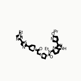 CCN(C(=O)[C@@H]1CCN(CC(=O)N2CC=C(c3ncc(-c4ncn(CC)n4)s3)CC2)C1)c1ccc2[nH]nc(-c3ccc(OC(C)C)nc3)c2n1